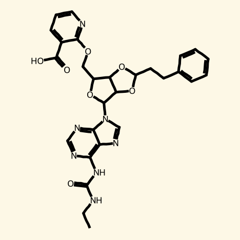 CCNC(=O)Nc1ncnc2c1ncn2C1OC(COc2ncccc2C(=O)O)C2OC(CCc3ccccc3)OC21